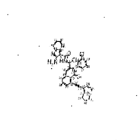 CC(NC(=O)c1c(N)nn2cccnc12)c1cc2cccc(C#Cc3cnn4c3CCC4)c2c(=O)n1-c1cccc(Cl)c1